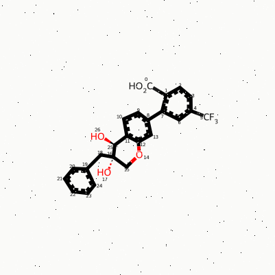 O=C(O)c1ccc(C(F)(F)F)cc1-c1ccc2c(c1)OC[C@@](O)(Cc1ccccc1)[C@H]2O